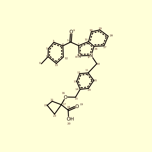 Cc1ccc(C(=O)c2nn(Cc3ccc(COC4(C(=O)O)CCC4)cc3)c3ccccc23)cc1